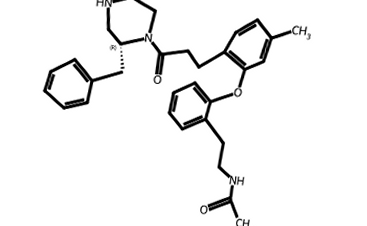 CC(=O)NCCc1ccccc1Oc1cc(C)ccc1CCC(=O)N1CCNC[C@H]1Cc1ccccc1